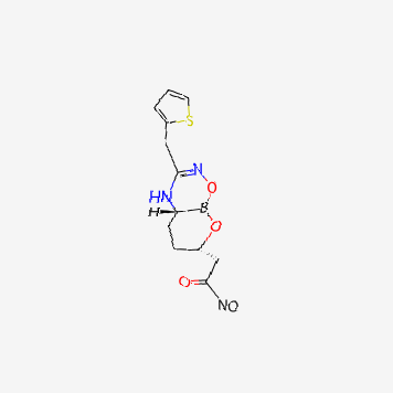 O=NC(=O)C[C@@H]1CC[C@@H]2NC(Cc3cccs3)=NOB2O1